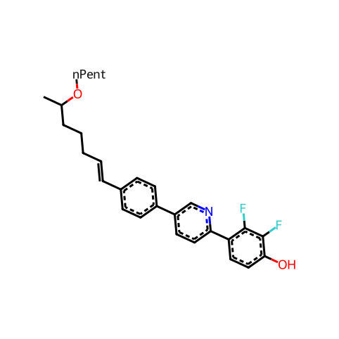 CCCCCOC(C)CCCC=Cc1ccc(-c2ccc(-c3ccc(O)c(F)c3F)nc2)cc1